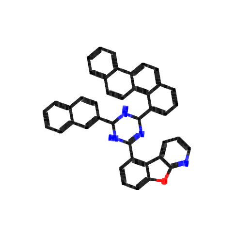 c1ccc2cc(C3NC(c4cccc5oc6ncccc6c45)=NC(c4cccc5ccc6c7ccccc7ccc6c45)N3)ccc2c1